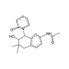 CC(=O)Nc1ccc2c(c1)C(n1ccccc1=O)C(O)C(C)(C)C2